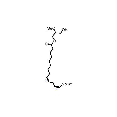 CCCCC/C=C\C/C=C\CCCCCCCC(=O)OCC(CO)OC